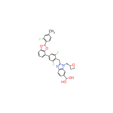 Cc1ccc(C2Oc3cccc(-c4cc(F)c(Cc5nc6ccc(C(O)O)cc6n5C[C@@H]5CCO5)c(F)c4)c3O2)c(F)c1